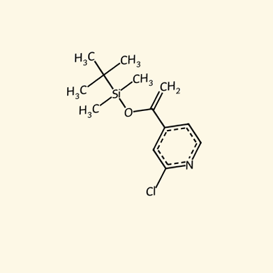 C=C(O[Si](C)(C)C(C)(C)C)c1ccnc(Cl)c1